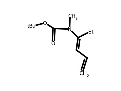 C=C/C=C(\CC)N(C)C(=O)OC(C)(C)C